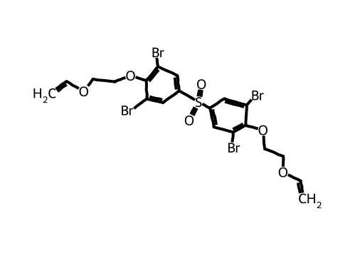 C=COCCOc1c(Br)cc(S(=O)(=O)c2cc(Br)c(OCCOC=C)c(Br)c2)cc1Br